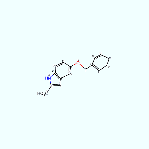 O=C(O)c1cc2cc(OCC3=CCCC=C3)ccc2[nH]1